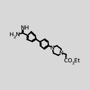 CCOC(=O)CN1CCN(c2ccc(-c3ccc(C(=N)N)cc3)cc2)CC1